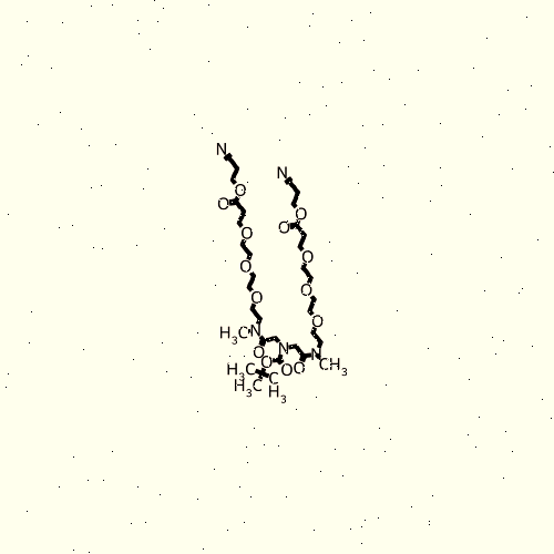 CN(CCOCCOCCOCCC(=O)OCCC#N)C(=O)CN(CC(=O)N(C)CCOCCOCCOCCC(=O)OCCC#N)C(=O)OC(C)(C)C